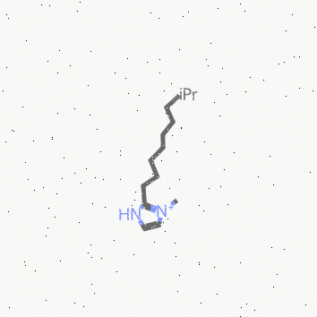 CC(C)CCCCCCCc1[nH]cc[n+]1C